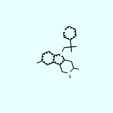 Cc1ccc2c(c1)c1c(n2CC(C)(O)c2cccnc2)CC(C)N(C)C1